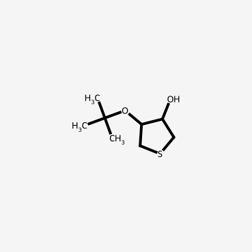 CC(C)(C)OC1CSCC1O